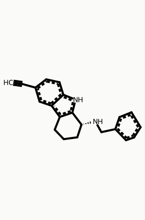 C#Cc1ccc2[nH]c3c(c2c1)CCC[C@H]3NCc1ccccc1